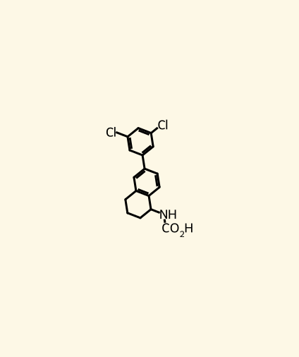 O=C(O)NC1CCCc2cc(-c3cc(Cl)cc(Cl)c3)ccc21